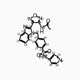 CC(=O)Nc1nonc1-c1nc2ccccc2n1Cc1ccc(S(=O)(=O)Nc2ccncc2)cc1